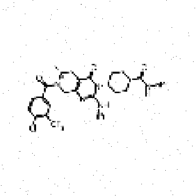 CC(C)Nc1nc2c(c(=O)n1[C@H]1CC[C@H](C(=O)NC(C)C)CC1)C[C@@H](C)N(C(=O)c1ccc(Cl)c(C(F)(F)F)c1)C2